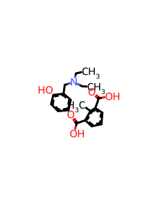 CCN(CC)Cc1ccccc1O.Cc1c(C(=O)O)cccc1C(=O)O